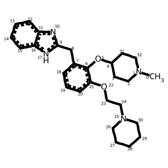 CN1CCC(Oc2c(Cc3nc4ccccc4[nH]3)cccc2OCCN2CCCCC2)CC1